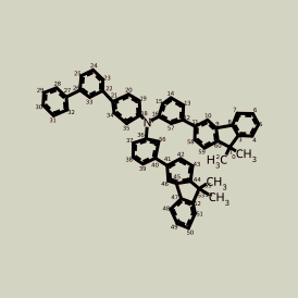 CC1(C)c2ccccc2-c2cc(-c3cccc(N(c4ccc(-c5cccc(-c6ccccc6)c5)cc4)c4cccc(-c5ccc6c(c5)-c5ccccc5C6(C)C)c4)c3)ccc21